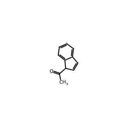 CC(=O)C1C=Cc2c[c]ccc21